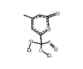 CCOC(OCC)(P=O)c1cc(C)cc(=O)o1